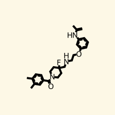 C=C(C)Nc1cccc(OCCNCC2(F)CCN(C(=O)c3ccc(C)c(C)c3)CC2)c1